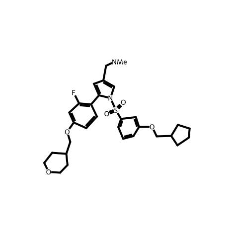 CNCc1cc(-c2ccc(OCC3CCOCC3)cc2F)n(S(=O)(=O)c2cccc(OCC3CCCC3)c2)c1